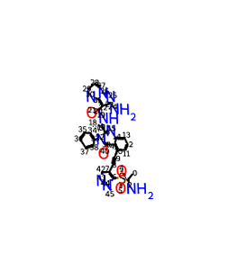 CC(N)S(=O)(=O)c1c(C#Cc2cccc3nc([C@H](C)NC(=O)c4c(N)nn5cccnc45)n(-c4ccccc4)c(=O)c23)cnn1C